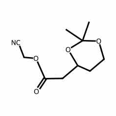 CC1(C)OCCC(CC(=O)OCC#N)O1